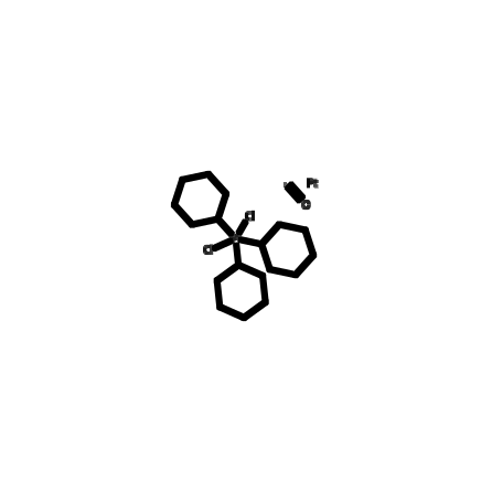 ClP(Cl)(C1CCCCC1)(C1CCCCC1)C1CCCCC1.[C]=O.[Pt]